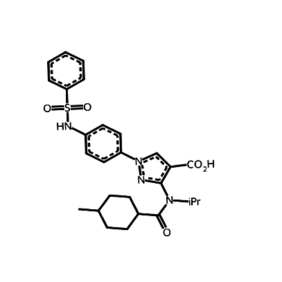 CC1CCC(C(=O)N(c2nn(-c3ccc(NS(=O)(=O)c4ccccc4)cc3)cc2C(=O)O)C(C)C)CC1